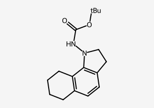 CC(C)(C)OC(=O)NN1CCc2ccc3c(c21)CCCC3